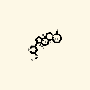 CCCOc1cncc(C2=CC[C@H]3[C@@H]4CCN5C(=O)CCCC[C@]5(C)[C@H]4CC[C@]23C)c1